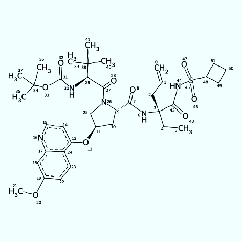 C=CC[C@@](CC)(NC(=O)[C@@H]1C[C@@H](Oc2ccnc3cc(OC)ccc23)CN1C(=O)[C@@H](NC(=O)OC(C)(C)C)C(C)(C)C)C(=O)NS(=O)(=O)C1CCC1